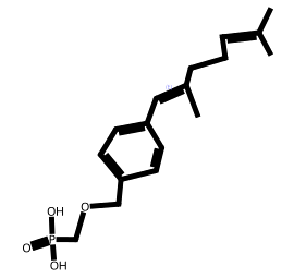 CC(C)=CCC/C(C)=C/c1ccc(COCP(=O)(O)O)cc1